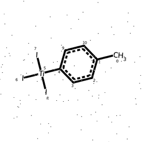 Cc1cc[c]([Ti]([I])([I])[I])cc1